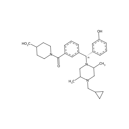 CC1CN([C@@H](c2cccc(O)c2)c2cccc(C(=O)N3CCC(C(=O)O)CC3)c2)C(C)CN1CC1CC1